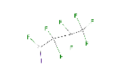 F[C](I)C(F)(F)C(F)(F)C(F)(F)F